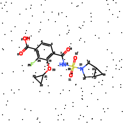 O=C(O)c1ccc(C(=O)NS(=O)(=O)N2CC3CC3C2)c(OC2CC2)c1F